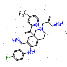 C=C(C=N)CN1CCC2=CC(Nc3ccc(F)cc3)=C(C=N)CC2(C(=C)c2cc(C(F)(F)F)ccn2)C1